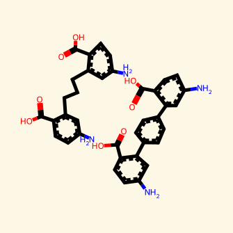 Nc1ccc(C(=O)O)c(-c2ccc(-c3cc(N)ccc3C(=O)O)cc2)c1.Nc1ccc(C(=O)O)c(CCCc2cc(N)ccc2C(=O)O)c1